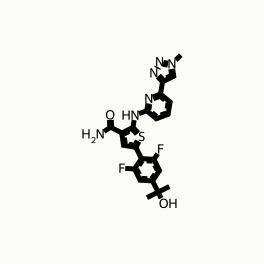 Cn1cc(-c2cccc(Nc3sc(-c4c(F)cc(C(C)(C)O)cc4F)cc3C(N)=O)n2)nn1